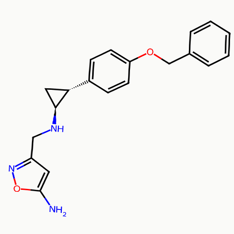 Nc1cc(CN[C@H]2C[C@@H]2c2ccc(OCc3ccccc3)cc2)no1